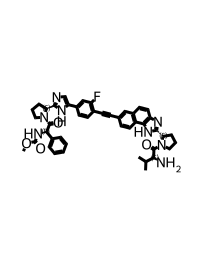 COC(=O)N[C@@H](C(=O)N1CCC[C@H]1c1ncc(-c2ccc(C#Cc3ccc4c(ccc5nc([C@@H]6CCCN6C(=O)[C@@H](N)C(C)C)[nH]c54)c3)c(F)c2)[nH]1)c1ccccc1